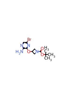 CC(C)(C)OC(=O)N1CC(Oc2nc(Br)cnc2N)C1